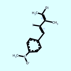 CC/C(C)=C(C)/C(I)=C/c1ccc([S+](C)[O-])cc1